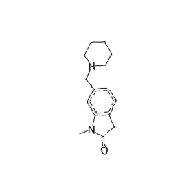 CN1C(=O)[CH]c2ccc(CN3CCCCC3)cc21